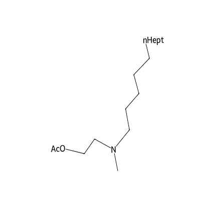 CCCCCCCCCCCCN(C)CCOC(C)=O